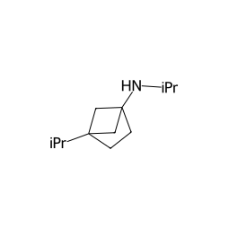 CC(C)NC12CCC(C(C)C)(C1)C2